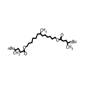 CCCCC(C)CCC(=O)OCCCCCCC(C)CCCCCCOC(=O)CCC(C)CCCC